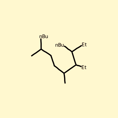 CCCCC(C)CCC(C)C(CC)C(CC)CCCC